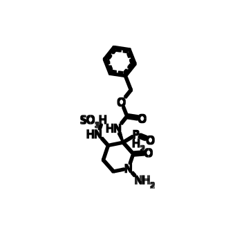 NN1CCC(NS(=O)(=O)O)[C@](NC(=O)OCc2ccccc2)([PH2]=O)C1=O